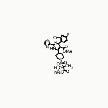 COC(=O)C1=C(C2CCN(S(=O)(=O)C(C)(C)C(=O)OC)CC2)NC(c2nccs2)=NC1c1ccc(F)cc1Cl